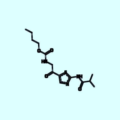 CCCCOC(=O)NCC(=O)c1cnc(NC(=O)C(C)C)s1